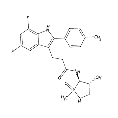 Cc1ccc(-c2[nH]c3c(F)cc(F)cc3c2CCC(=O)N[C@H]2[C@H](O)CNP2(C)=O)cc1